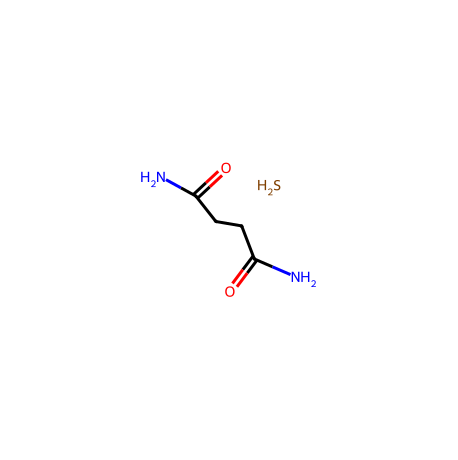 NC(=O)CCC(N)=O.S